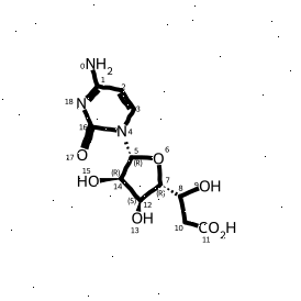 Nc1ccn([C@@H]2O[C@H](C(O)CC(=O)O)[C@@H](O)[C@H]2O)c(=O)n1